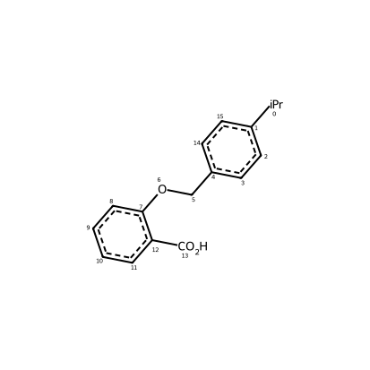 CC(C)c1ccc(COc2ccccc2C(=O)O)cc1